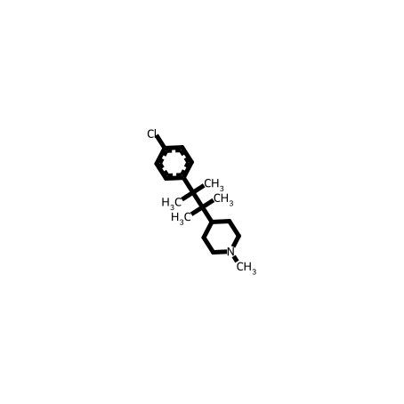 CN1CCC(C(C)(C)C(C)(C)c2ccc(Cl)cc2)CC1